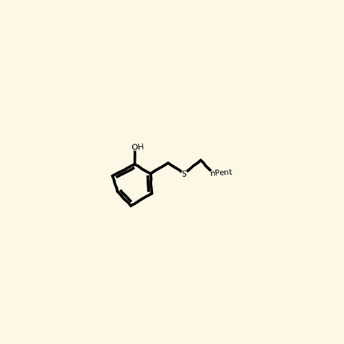 CCCCCCSCc1ccccc1O